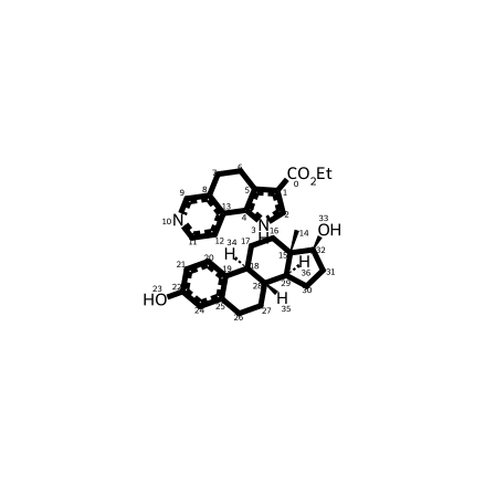 CCOC(=O)c1c[nH]c2c1CCc1cnccc1-2.C[C@]12CC[C@@H]3c4ccc(O)cc4CC[C@H]3[C@@H]1CC[C@@H]2O